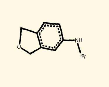 CC(C)Nc1ccc2c(c1)COC2